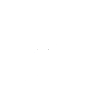 C=C(C(NCCCn1ccnc1)[C@H]1CCCC=C1C)N(Cc1ccc(Cl)cc1)/N=N\N